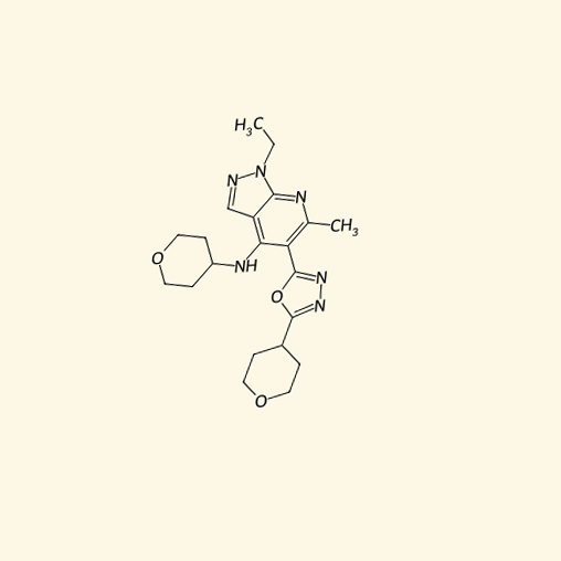 CCn1ncc2c(NC3CCOCC3)c(-c3nnc(C4CCOCC4)o3)c(C)nc21